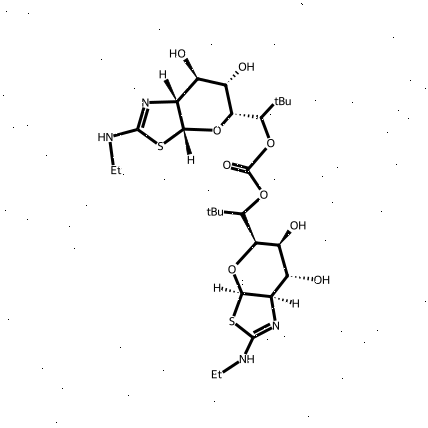 CCNC1=N[C@@H]2[C@@H](O)[C@H](O)[C@H](C(OC(=O)OC([C@@H]3O[C@@H]4SC(NCC)=N[C@@H]4[C@@H](O)[C@@H]3O)C(C)(C)C)C(C)(C)C)O[C@@H]2S1